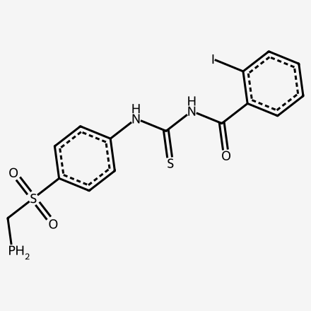 O=C(NC(=S)Nc1ccc(S(=O)(=O)CP)cc1)c1ccccc1I